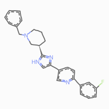 Fc1cccc(-c2ccc(-c3c[nH]c([C@@H]4CCCN(Cc5ccccc5)C4)n3)cn2)c1